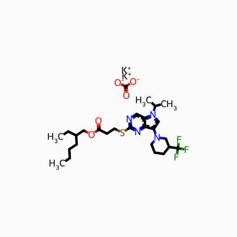 CCCCC(CC)COC(=O)CCSc1ncc2c(n1)c(N1CCCC(C(F)(F)F)C1)cn2C(C)C.O=C([O-])[O-].[K+].[K+]